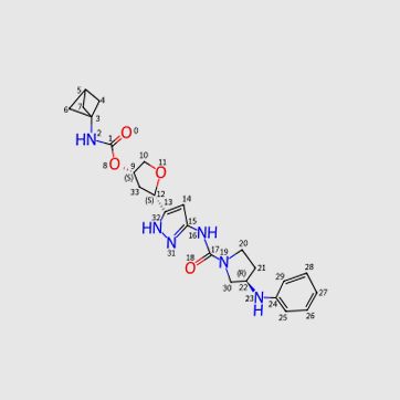 O=C(NC12CC(C1)C2)O[C@@H]1CO[C@H](c2cc(NC(=O)N3CC[C@@H](Nc4ccccc4)C3)n[nH]2)C1